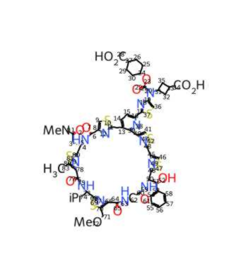 CNC(=O)C[C@@H]1NC(=O)c2csc(n2)-c2ccc(-c3nc(N(C(=O)O[C@H]4CC[C@H](C(=O)O)CC4)C4CC(C(=O)O)C4)cs3)nc2-c2csc(n2)-c2csc(n2)[C@H]([C@@H](O)c2ccccc2)NC(=O)CNC(=O)c2nc(sc2COC)C(C(C)C)NC(=O)c2nc1sc2C